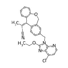 CCOc1nc2c(Cl)ccnc2n1Cc1ccc2c(c1)COc1ccccc1C2=C(C)C#N